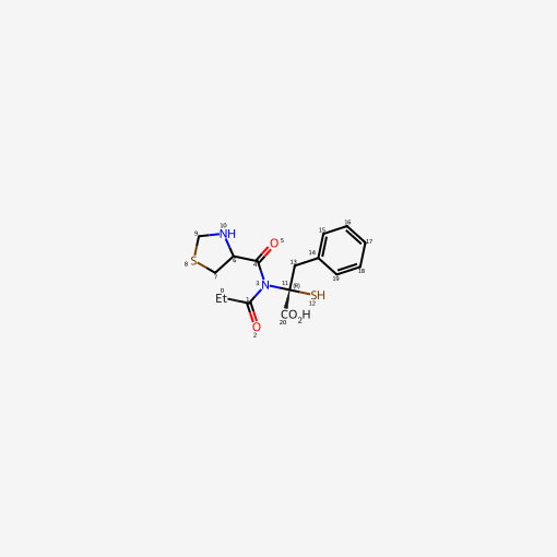 CCC(=O)N(C(=O)C1CSCN1)[C@@](S)(Cc1ccccc1)C(=O)O